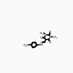 CN1C(=O)C(C=NNc2ccc([N+](=O)[O-])cc2)C(=O)N(C)C1=O